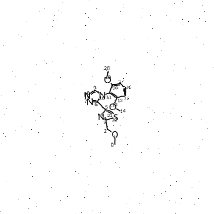 COCc1nc(-c2nncn2-c2c(OC)cccc2OC)cs1